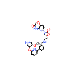 CO[C@H]1CNC[C@@H]1Oc1cccc(-c2cccc(CNCCC3CN(c4ccc5c(n4)NC(=O)CO5)C(=O)O3)c2)n1